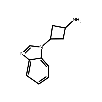 NC1CC(n2cnc3ccccc32)C1